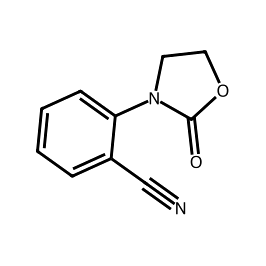 N#Cc1ccccc1N1CCOC1=O